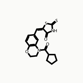 O=C1NC(=S)SC1=Cc1ccc2c(c1)N(C(=O)C1CCCC1)CCO2